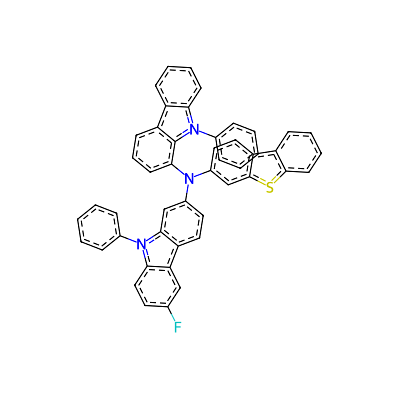 Fc1ccc2c(c1)c1ccc(N(c3ccc4c(c3)sc3ccccc34)c3cccc4c5ccccc5n(-c5ccccc5)c34)cc1n2-c1ccccc1